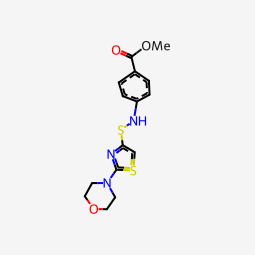 COC(=O)c1ccc(NSc2csc(N3CCOCC3)n2)cc1